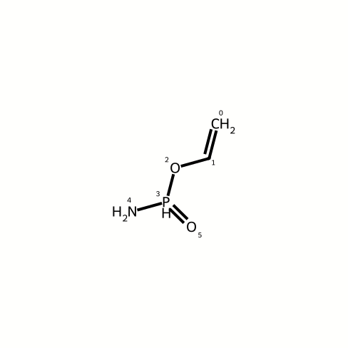 C=CO[PH](N)=O